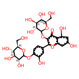 O=c1c(OC2O[C@H](CO)[C@@H](O)[C@H](O)[C@H]2O)c(-c2ccc(OC3O[C@H](CO)[C@@H](O)[C@H](O)[C@H]3O)c(O)c2)oc2cc(O)cc(O)c12